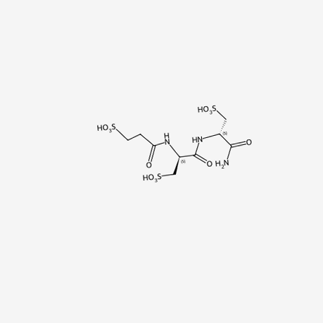 NC(=O)[C@@H](CS(=O)(=O)O)NC(=O)[C@@H](CS(=O)(=O)O)NC(=O)CCS(=O)(=O)O